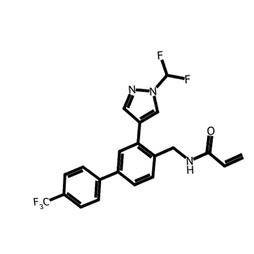 C=CC(=O)NCc1ccc(-c2ccc(C(F)(F)F)cc2)cc1-c1cnn(C(F)F)c1